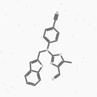 Cc1oc(N(Cc2cc3ccccc3s2)c2ccc(C#N)cc2)nc1C=O